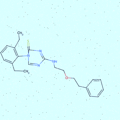 CCc1cccc(CC)c1-n1cnc(NCCOCCc2ccccc2)nc1=S